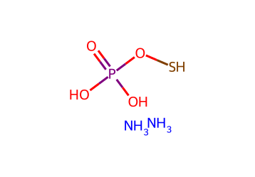 N.N.O=P(O)(O)OS